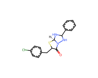 O=C1C(Cc2ccc(Cl)cc2)S[C@H]2NC(c3ccccc3)NN12